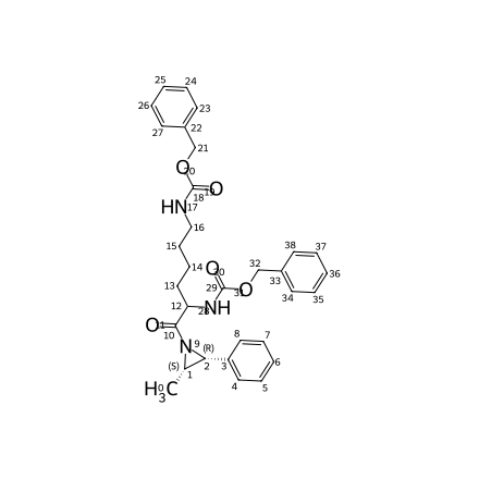 C[C@H]1[C@@H](c2ccccc2)N1C(=O)C(CCCCNC(=O)OCc1ccccc1)NC(=O)OCc1ccccc1